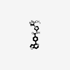 Cn1nnnc1N1CCC(NC(=O)c2ccc(-c3nccc4occc34)cc2)C1